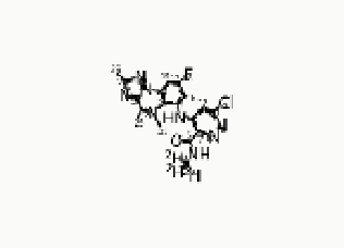 [2H]C([2H])([2H])NC(=O)c1nnc(Cl)cc1Nc1cc(F)cc2c1N(C)C(C)c1nc(C)nn1-2